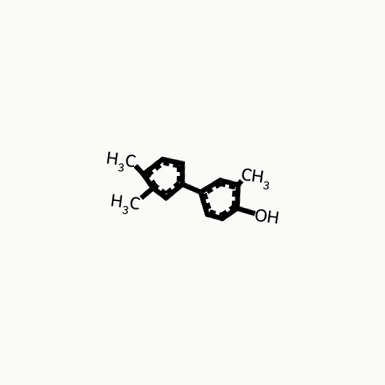 Cc1ccc(-c2ccc(O)c(C)c2)cc1C